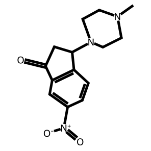 CN1CCN(C2CC(=O)c3cc([N+](=O)[O-])ccc32)CC1